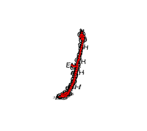 CCNC(=O)c1cc(OCCCNC(=O)CCOCCOCCOCCOCCNC(=O)CCCCCN2C(=O)c3ccc4c5c(ccc(c35)C2=O)C(=O)N(CCN(C)C)C4=O)cc(OCCCNC(=O)CCOCCOCCOCCOCCNC(=O)CCCCCN2C(=O)c3ccc4c5c(ccc(c35)C2=O)C(=O)N(CCN(C)C)C4=O)c1